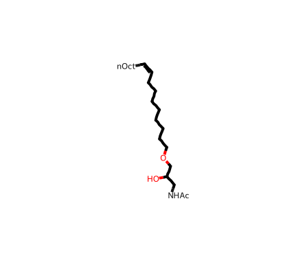 CCCCCCCC/C=C\CCCCCCCCOCC(O)CNC(C)=O